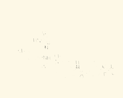 Cn1c(C(=O)Nc2ccc(Cl)cc2-c2noc(=O)[nH]2)cc2ccc(NC(=O)c3ccc(OC(F)(F)F)cc3)cc21